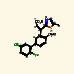 COc1ccc(-c2cc(Cl)ccc2F)cc1C(CC(=O)O)c1ncc(C)s1